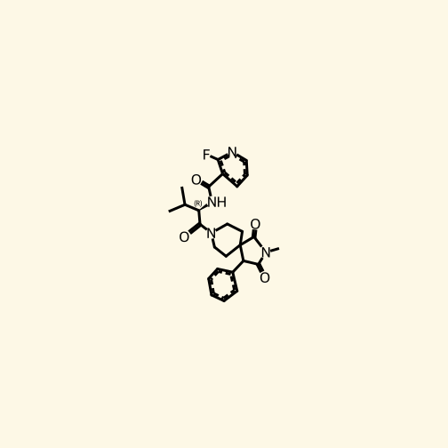 CC(C)[C@@H](NC(=O)c1cccnc1F)C(=O)N1CCC2(CC1)C(=O)N(C)C(=O)C2c1ccccc1